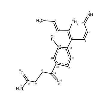 C/C=C/C(C)=C(/C=C\C=N)c1ccc(C(=N)CCC(N)=O)cc1F